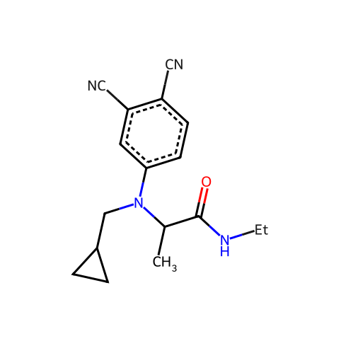 CCNC(=O)C(C)N(CC1CC1)c1ccc(C#N)c(C#N)c1